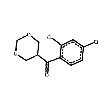 O=C(c1ccc(Cl)cc1Cl)C1COCOC1